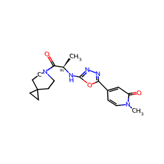 C[C@@H](Nc1nnc(-c2ccn(C)c(=O)c2)o1)C(=O)N1CCC2(CC1)CC2